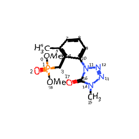 COP(=O)(Cc1c(C)cccc1-n1nnn(C)c1=O)OC